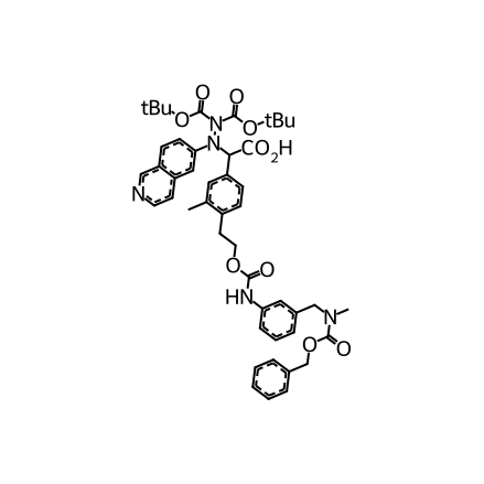 Cc1cc(C(C(=O)O)N(c2ccc3cnccc3c2)N(C(=O)OC(C)(C)C)C(=O)OC(C)(C)C)ccc1CCOC(=O)Nc1cccc(CN(C)C(=O)OCc2ccccc2)c1